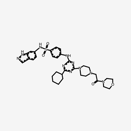 O=C(CN1CCN(c2nc(Nc3ccc(S(=O)(=O)Nc4ccc5cn[nH]c5c4)cc3)nc(C3CCCCC3)n2)CC1)N1CCOCC1